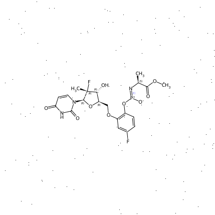 COC(=O)[C@H](C)/N=[P+](\[O-])Oc1ccc(F)cc1OC[C@H]1O[C@@H](n2ccc(=O)[nH]c2=O)[C@](C)(F)[C@@H]1O